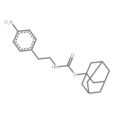 O=C(NCCc1ccc([N+](=O)[O-])cc1)OC12CC3CC(CC(C3)C1)C2